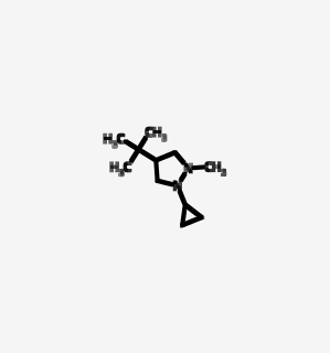 CN1CC(C(C)(C)C)CN1C1CC1